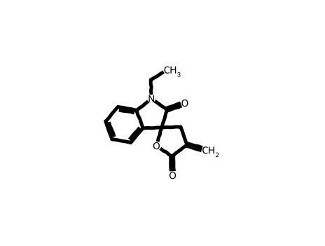 C=C1CC2(OC1=O)C(=O)N(CC)c1ccccc12